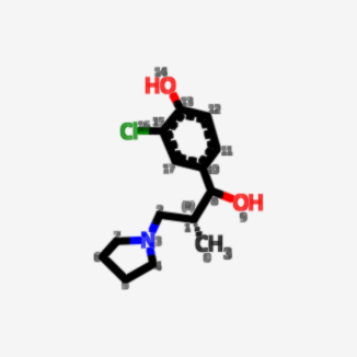 C[C@H](CN1CCCC1)C(O)c1ccc(O)c(Cl)c1